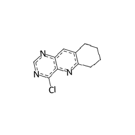 Clc1ncnc2cc3c(nc12)CCCC3